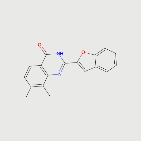 Cc1ccc2c(=O)[nH]c(-c3cc4ccccc4o3)nc2c1C